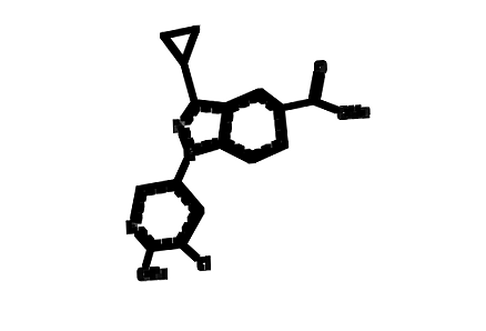 COC(=O)c1ccc2c(c1)c(C1CC1)nn2-c1cnc(OCC(C)C)c(Cl)c1